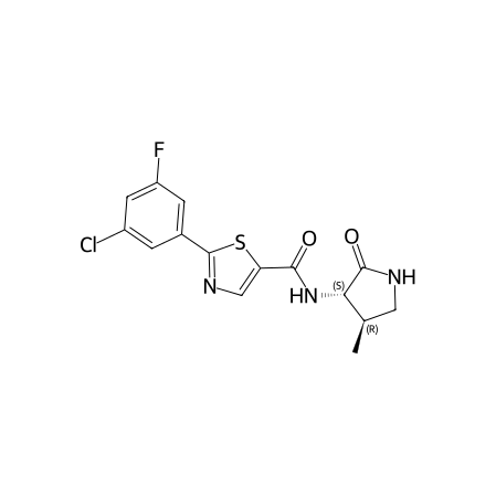 C[C@@H]1CNC(=O)[C@H]1NC(=O)c1cnc(-c2cc(F)cc(Cl)c2)s1